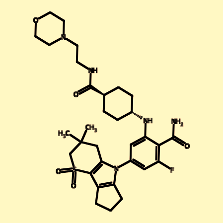 CC1(C)Cc2c(c3c(n2-c2cc(F)c(C(N)=O)c(N[C@H]4CC[C@H](C(=O)NCCN5CCOCC5)CC4)c2)CCC3)S(=O)(=O)C1